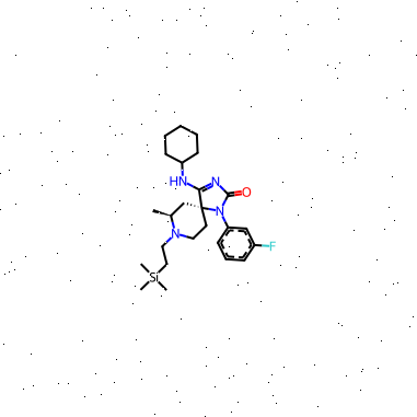 C[C@H]1C[C@]2(CCN1CC[Si](C)(C)C)C(NC1CCCCC1)=NC(=O)N2c1cccc(F)c1